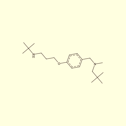 CN(Cc1ccc(OCCCNC(C)(C)C)cc1)CC(C)(C)C